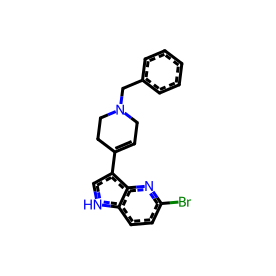 Brc1ccc2[nH]cc(C3=CCN(Cc4ccccc4)CC3)c2n1